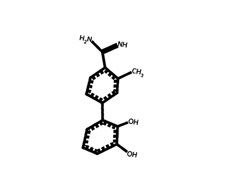 Cc1cc(-c2cccc(O)c2O)ccc1C(=N)N